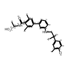 Cc1cc(C(F)(F)CNc2cccc(-c3cc(C)c(C(=O)N[C@@H](C)C(=O)O)c(C)c3)c2)ccc1Cl